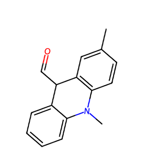 Cc1ccc2c(c1)C(C=O)c1ccccc1N2C